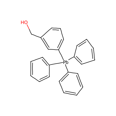 OCc1ccc[c]([Pb]([c]2ccccc2)([c]2ccccc2)[c]2ccccc2)c1